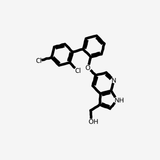 OCc1c[nH]c2ncc(Oc3ccccc3-c3ccc(Cl)cc3Cl)cc12